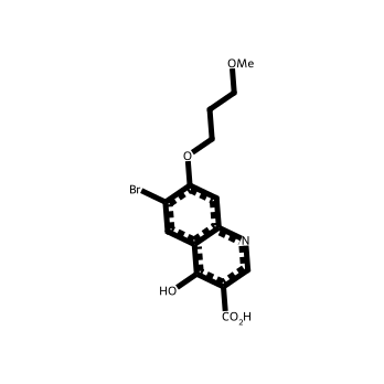 COCCCOc1cc2ncc(C(=O)O)c(O)c2cc1Br